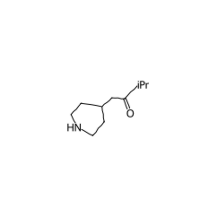 CC(C)C(=O)CC1CCNCC1